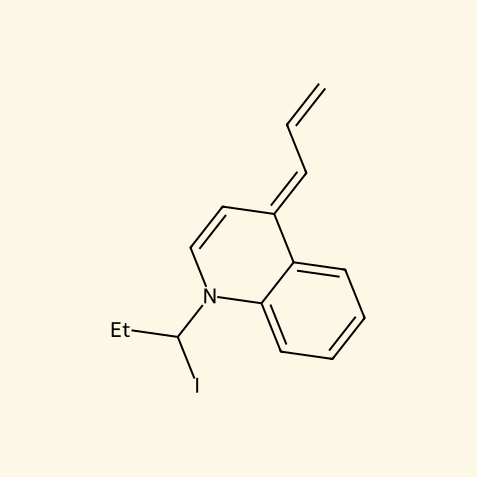 C=CC=C1C=CN(C(I)CC)c2ccccc21